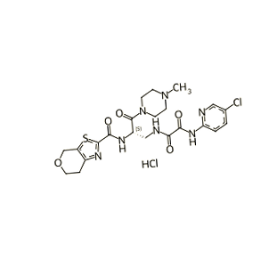 CN1CCN(C(=O)[C@H](CNC(=O)C(=O)Nc2ccc(Cl)cn2)NC(=O)c2nc3c(s2)COCC3)CC1.Cl